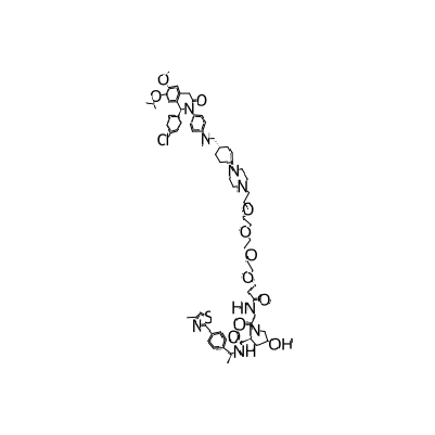 COc1cc2c(cc1OC(C)C)[C@H](c1ccc(Cl)cc1)N(c1ccc(N(C)C[C@H]3CC[C@H](N4CCN(CCOCCOCCOCCOCCC(=O)NCC(=O)N5C[C@H](O)C[C@H]5C(=O)N[C@@H](C)c5ccc(-c6nc(C)cs6)cc5)CC4)CC3)cc1)C(=O)C2